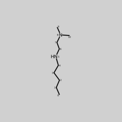 CCCCCNCCN(C)C